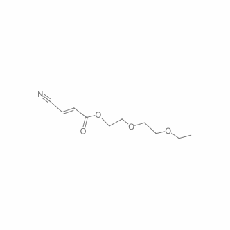 CCOCCOCCOC(=O)C=CC#N